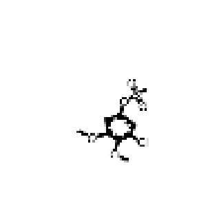 COc1cc(OS(C)(=O)=O)cc(Cl)c1OC